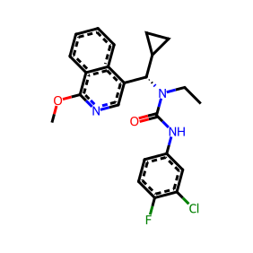 CCN(C(=O)Nc1ccc(F)c(Cl)c1)[C@H](c1cnc(OC)c2ccccc12)C1CC1